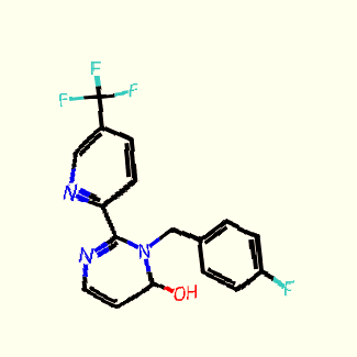 OC1C=CN=C(c2ccc(C(F)(F)F)cn2)N1Cc1ccc(F)cc1